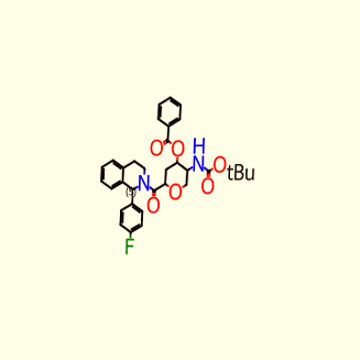 CC(C)(C)OC(=O)NC1COC(C(=O)N2CCc3ccccc3[C@@H]2c2ccc(F)cc2)CC1OC(=O)c1ccccc1